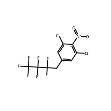 O=[N+]([O-])c1c(Cl)cc(CC(F)(F)C(F)(F)C(F)(F)F)cc1Cl